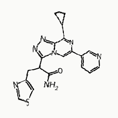 NC(=O)C(Cc1cscn1)c1nnc2c(C3CC3)nc(-c3cccnc3)cn12